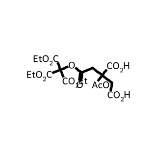 CCOC(=O)C(OC(=O)CC(CC(=O)O)(OC(C)=O)C(=O)O)(C(=O)OCC)C(=O)OCC